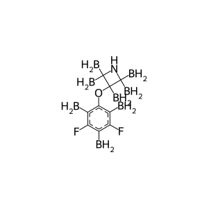 Bc1c(F)c(B)c(OC2(B)C(B)(B)NC2(B)B)c(B)c1F